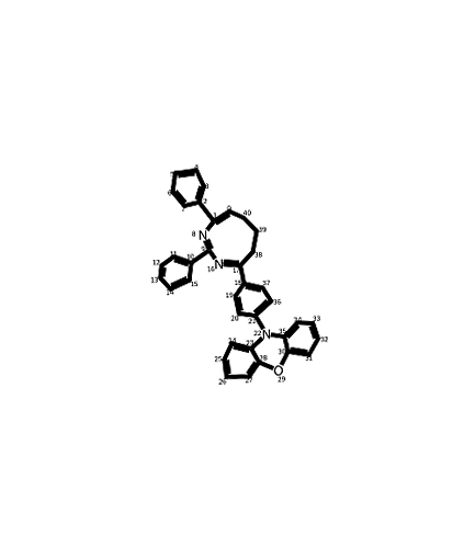 C1=C(c2ccccc2)/N=C(c2ccccc2)\N=C(\c2ccc(N3c4ccccc4Oc4ccccc43)cc2)CCC\1